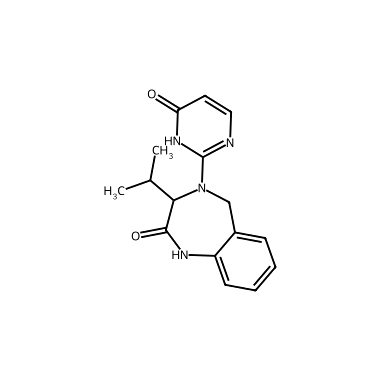 CC(C)C1C(=O)Nc2ccccc2CN1c1nccc(=O)[nH]1